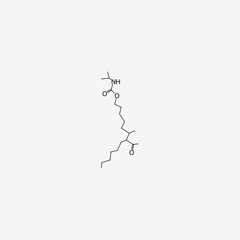 CCCCCCC(C(C)=O)C(C)CCCCCOC(=O)NC(C)C